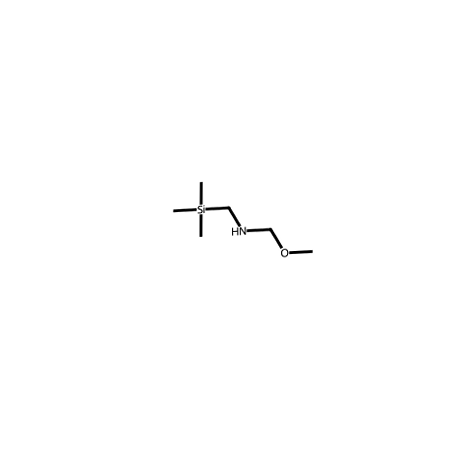 COCNC[Si](C)(C)C